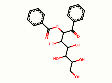 O=C(OC(C(=O)c1ccccc1)C(O)C(O)C(O)C(O)CO)c1ccccc1